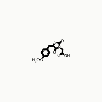 COc1ccc(C=C2SC(=O)N(CC(=O)O)C2=O)cc1